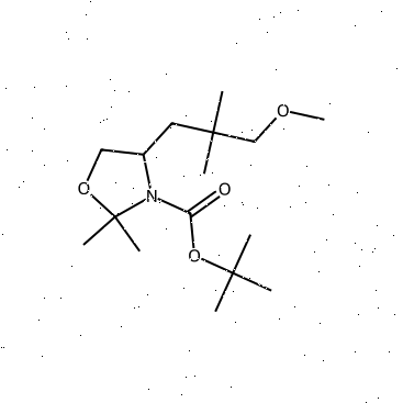 COCC(C)(C)CC1COC(C)(C)N1C(=O)OC(C)(C)C